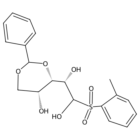 Cc1ccccc1S(=O)(=O)C(O)[C@@H](O)[C@H]1OC(c2ccccc2)OC[C@H]1O